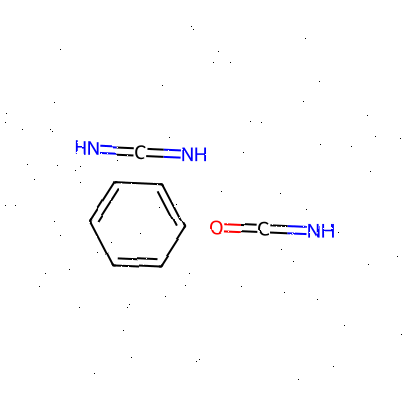 N=C=N.N=C=O.c1ccccc1